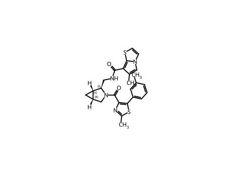 Cc1cccc(-c2sc(C)nc2C(=O)N2C[C@@H]3C[C@@H]3[C@H]2CNC(=O)c2c(C)cn3ccsc23)c1